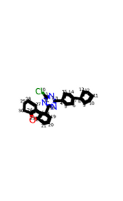 Clc1nc(-c2ccc(-c3ccccc3)cc2)nc(-c2cccc3oc4c(c23)C=CCC4)n1